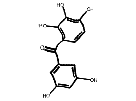 O=C(c1cc(O)cc(O)c1)c1ccc(O)c(O)c1O